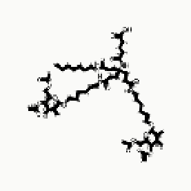 CCCCCCCNC(=O)CCC(CCC(=O)NCCCCCCOC1OC(COC(C)=O)C(OC(C)=O)C(C)C1C)(CCC(=O)NCCCCCCOC1OC(COC(C)=O)C(OC(C)=O)C(C)C1C)NC(=O)CCCC(=O)O